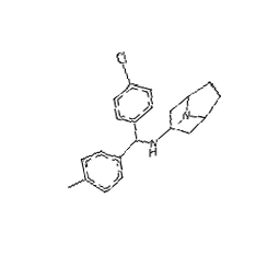 Cc1ccc(C(NC2CC3CCC(C2)N3C)c2ccc(Cl)cc2)cc1